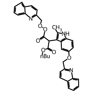 CCCCOC(=O)C(C(=O)OOCc1ccc2ccccc2n1)c1c(C)[nH]c2ccc(OCc3ccc4ccccc4n3)cc12